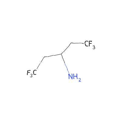 NC(CC(F)(F)F)CC(F)(F)F